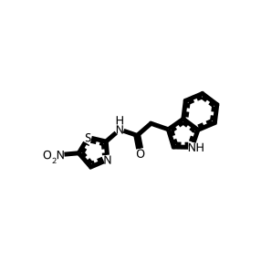 O=C(Cc1c[nH]c2ccccc12)Nc1ncc([N+](=O)[O-])s1